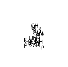 CN1CCN(c2ccc(C(=O)Nc3n[nH]c4c3CN(S(=O)(=O)c3cc(F)cc(F)c3)CC4(C)C)c(NC(=O)N3CCCC3)c2)CC1